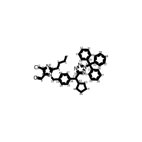 CCCCc1nc(Cl)c(C=O)n1Cc1ccc(C(c2nnn(C(c3ccccc3)(c3ccccc3)c3ccccc3)n2)C2CCCC2)cc1